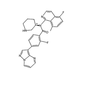 Cc1ccc(F)c2ccnc(N(C(=O)c3ccc(-c4cnn5cccnc45)cc3F)[C@@H]3CCCNC3)c12